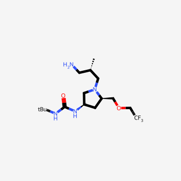 C[C@@H](CN)CN1C[C@H](NC(=O)NC(C)(C)C)C[C@@H]1COCC(F)(F)F